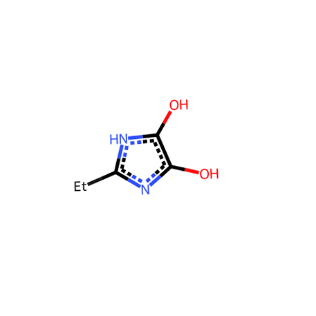 CCc1nc(O)c(O)[nH]1